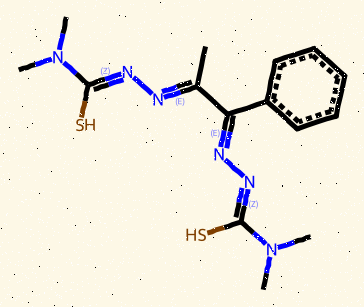 CC(=N\N=C(/S)N(C)C)/C(=N/N=C(\S)N(C)C)c1ccccc1